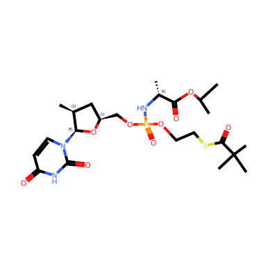 CC(C)OC(=O)[C@@H](C)NP(=O)(OCCSC(=O)C(C)(C)C)OC[C@@H]1C[C@H](C)[C@H](n2ccc(=O)[nH]c2=O)O1